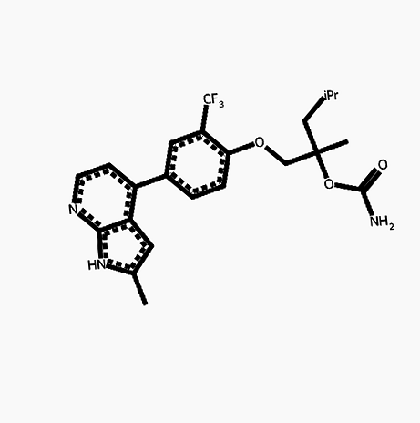 Cc1cc2c(-c3ccc(OCC(C)(CC(C)C)OC(N)=O)c(C(F)(F)F)c3)ccnc2[nH]1